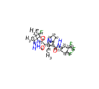 CC(=N)C1(NC(=O)C(=O)c2c(C)c(C(=O)Nc3ccc(F)c(C(F)F)c3)c3n2CCC3)CC(C)(F)C1